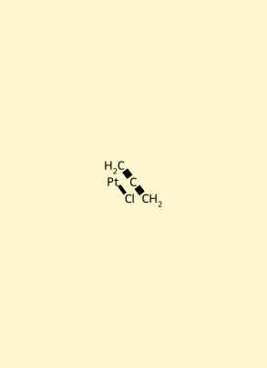 C=C=C.[Cl][Pt]